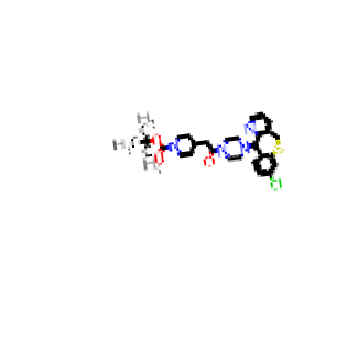 CC(C)(C)OC(=O)N1CCC(CC(=O)N2CCN(C3c4ccc(Cl)cc4SCc4cccnc43)CC2)CC1